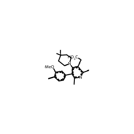 COc1cc(-c2c(C)nc(C)c(CC(=O)O)c2N2CCC(C)(C)CC2)ccc1C